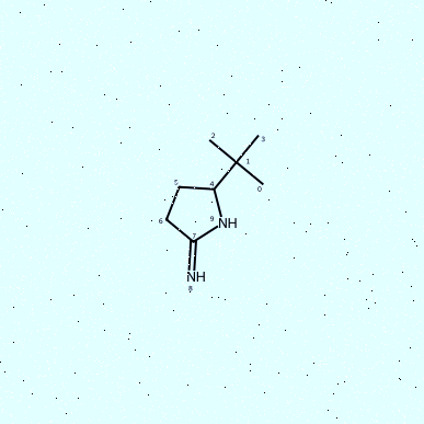 CC(C)(C)C1CCC(=N)N1